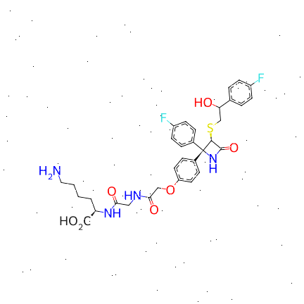 NCCCC[C@@H](NC(=O)CNC(=O)COc1ccc([C@]2(c3ccc(F)cc3)NC(=O)[C@@H]2SCC(O)c2ccc(F)cc2)cc1)C(=O)O